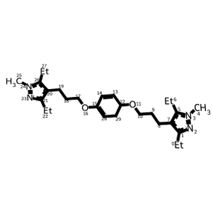 CCc1nn(C)c(CC)c1CCCO[C]1C=CC(OCCCc2c(CC)nn(C)c2CC)=CC1